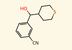 N#Cc1cccc(C(O)C2CCSCC2)c1